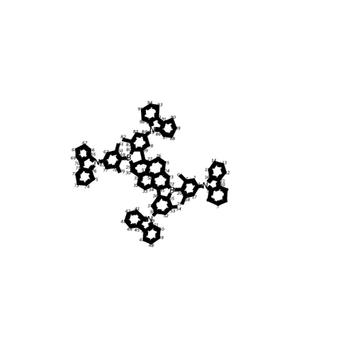 Cc1cc(-n2c3ccccc3c3ccccc32)cc(C)c1B1c2cc3ccc4c5c(cc6ccc(c2-c2cc(-n7c8ccccc8c8ccccc87)cc(C)c21)c3c64)B(c1c(C)cc(-n2c3ccccc3c3ccccc32)cc1C)c1c(C)cc(-n2c3ccccc3c3ccccc32)cc1-5